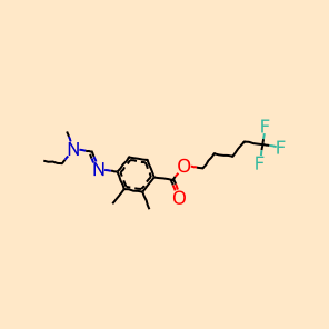 CCN(C)/C=N/c1ccc(C(=O)OCCCCC(F)(F)F)c(C)c1C